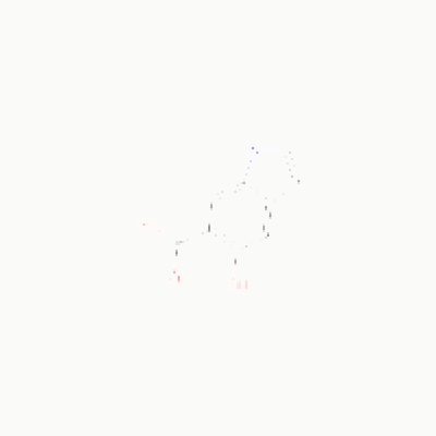 OB(O)c1cc2[nH]ccc2cc1O